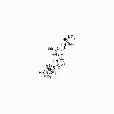 CC[C@H](C)C(=O)N[C@@H](CCCNC(=N)N[N+](=O)[O-])C(=O)N[C@@H](CC(C)C)B1O[C@@H]2C[C@@H]3C[C@@H](C3(C)C)[C@]2(C)O1